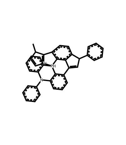 CC1C=C[N+]2=C1c1ccc3c4c1[PH]21c2ccccc2N(c2ccccc2)c2cccc(c21)C4=CC3c1ccccc1